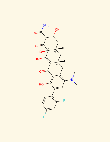 CN(C)c1cc(-c2ccc(F)cc2F)c(O)c2c1C[C@H]1C[C@H]3CC(O)C(C(N)=O)C(=O)[C@@]3(O)C(O)=C1C2=O